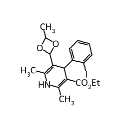 CCOC(=O)C1=C(C)NC(C)=C(C2OC(C)O2)C1c1ccccc1I